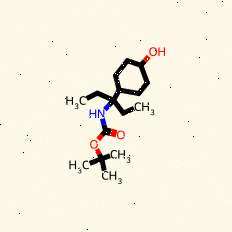 CCC(CC)(NC(=O)OC(C)(C)C)C1CCC(O)CC1